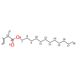 C=CC(C)C(=O)OCCCCCCCCCCCC